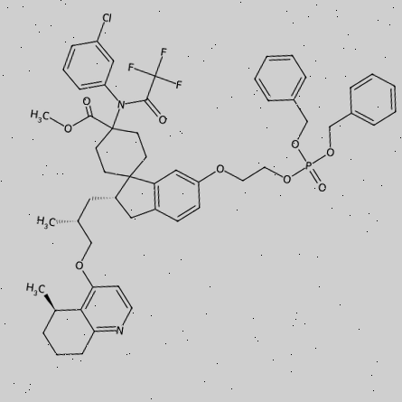 COC(=O)C1(N(C(=O)C(F)(F)F)c2cccc(Cl)c2)CCC2(CC1)c1cc(OCCOP(=O)(OCc3ccccc3)OCc3ccccc3)ccc1C[C@@H]2C[C@@H](C)COc1ccnc2c1[C@H](C)CCC2